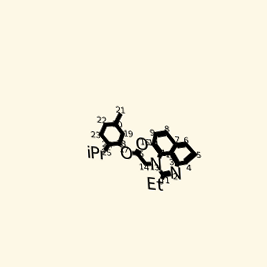 CCC1=Nc2cccc3cccc(c23)N1CC(=O)O[C@@H]1CC(C)CCC1C(C)C